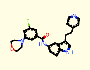 O=C(Nc1ccc2[nH]cc(CCc3ccncc3)c2c1)c1cc(F)cc(N2CCOCC2)c1